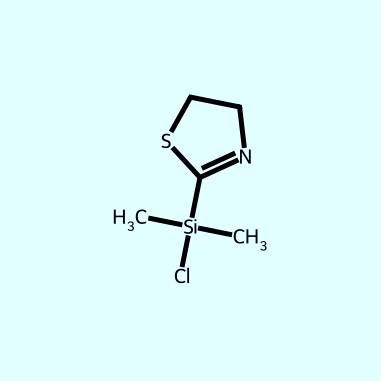 C[Si](C)(Cl)C1=NCCS1